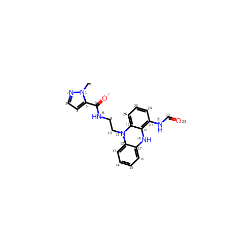 Cn1nccc1C(=O)NCCN1c2ccccc2Nc2c(NC=O)cccc21